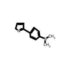 CN(C)c1ccc(C2=NCC=C2)cc1